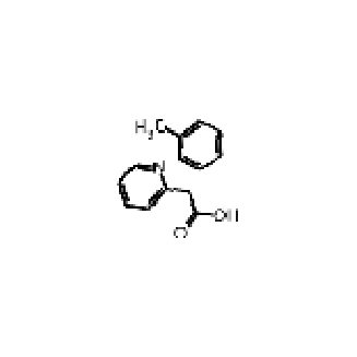 Cc1ccccc1.O=C(O)Cc1ccccn1